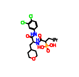 CC(C)CC(C(=O)N[C@@H](CC1CCOCC1)C(=O)Nc1ccc(Cl)c(Cl)c1)P(=O)(O)O